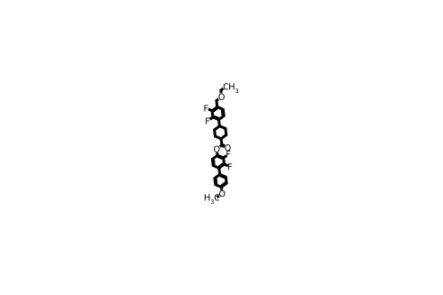 CCOCc1ccc(C2CCC(C(=O)Oc3ccc(-c4ccc(OC)cc4)c(F)c3F)CC2)c(F)c1F